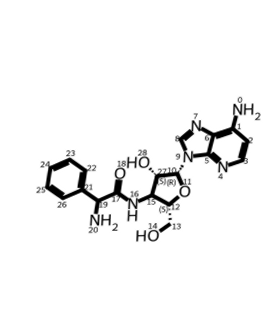 Nc1ccnc2c1ncn2[C@@H]1O[C@H](CO)C(NC(=O)C(N)c2ccccc2)[C@@H]1O